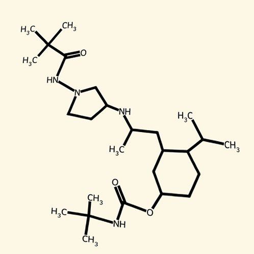 CC(CC1CC(OC(=O)NC(C)(C)C)CCC1C(C)C)NC1CCN(NC(=O)C(C)(C)C)C1